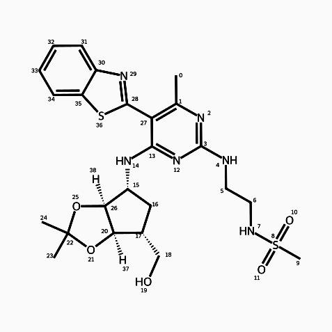 Cc1nc(NCCNS(C)(=O)=O)nc(N[C@@H]2C[C@H](CO)[C@H]3OC(C)(C)O[C@H]32)c1-c1nc2ccccc2s1